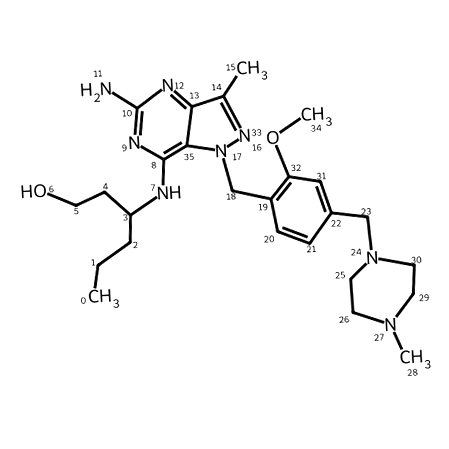 CCCC(CCO)Nc1nc(N)nc2c(C)nn(Cc3ccc(CN4CCN(C)CC4)cc3OC)c12